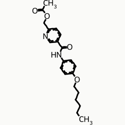 CCCCCCOc1ccc(NC(=O)c2ccc(COC(C)=O)nc2)cc1